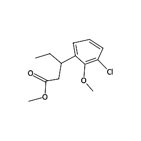 CCC(CC(=O)OC)c1cccc(Cl)c1OC